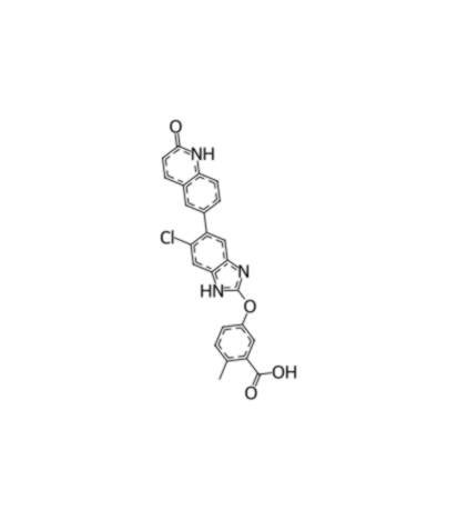 Cc1ccc(Oc2nc3cc(-c4ccc5[nH]c(=O)ccc5c4)c(Cl)cc3[nH]2)cc1C(=O)O